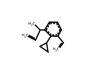 [CH2]C(C=C)c1cccc(C=C)c1C1CC1